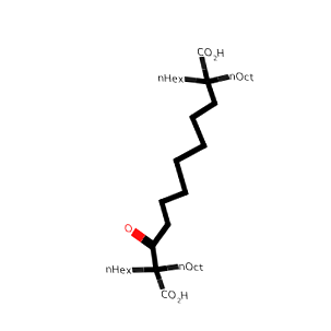 CCCCCCCCC(CCCCCC)(CCCCCCCC(=O)C(CCCCCC)(CCCCCCCC)C(=O)O)C(=O)O